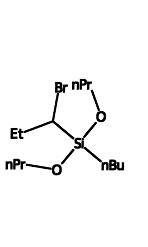 CCCC[Si](OCCC)(OCCC)C(Br)CC